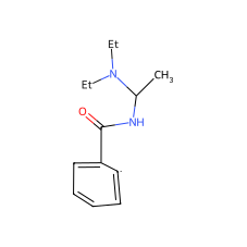 CCN(CC)C(C)NC(=O)c1[c]cccc1